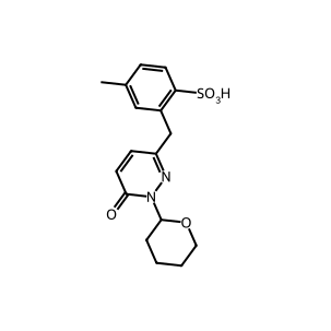 Cc1ccc(S(=O)(=O)O)c(Cc2ccc(=O)n(C3CCCCO3)n2)c1